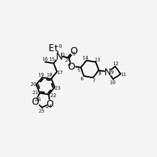 CCN(C(=O)OC1CCC(N2CCC2)CC1)C(C)Cc1ccc2c(c1)OCO2